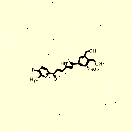 COc1cc(-c2cc(/C=C/C(=O)c3ccc(F)c(C)c3)[nH]n2)cc(CO)c1CO